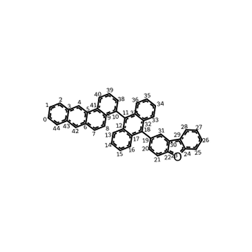 c1ccc2cc3c(ccc4c(-c5c6ccccc6c(-c6ccc7oc8ccccc8c7c6)c6ccccc56)cccc43)cc2c1